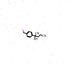 CCCC(C#N)(CCC#N)c1ccc(CI)cc1